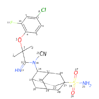 CC(C)(Oc1ccc(Cl)cc1F)C(=N)N(C#N)C1C2CC3CC1CC(S(N)(=O)=O)(C3)C2